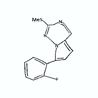 CSc1ncc2ccc(-c3ccccc3F)n2n1